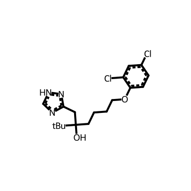 CC(C)(C)C(O)(CCCCOc1ccc(Cl)cc1Cl)Cc1nc[nH]n1